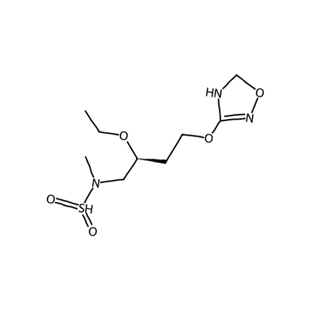 CCO[C@@H](CCOC1=NOCN1)CN(C)[SH](=O)=O